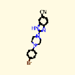 N#Cc1ccc2nc(N3CCN(c4ccc(Br)cc4)CC3)[nH]c2c1